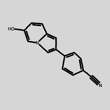 N#Cc1ccc(-c2cc3ccc(O)cn3c2)cc1